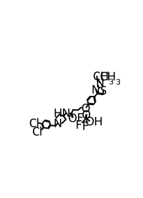 CCN(CC)c1nc(-c2ccc(OCCCC(=O)NC3CCN(Cc4ccc(Cl)c(Cl)c4)CC3)cc2)cs1.O=C(O)C(F)(F)F